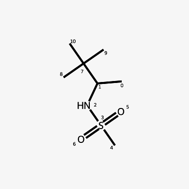 CC(NS(C)(=O)=O)C(C)(C)C